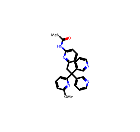 CNC(=O)Nc1cccc(CC(c2cccnc2)(c2cccnc2)c2cccc(OC)n2)n1